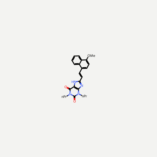 CCCn1c(=O)c2[nH]c(C=Cc3ccc(OC)c4ccccc34)nc2n(CCC)c1=O